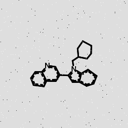 c1ccc2ncc(-c3cc4ccccc4n3CC3CCCCC3)cc2c1